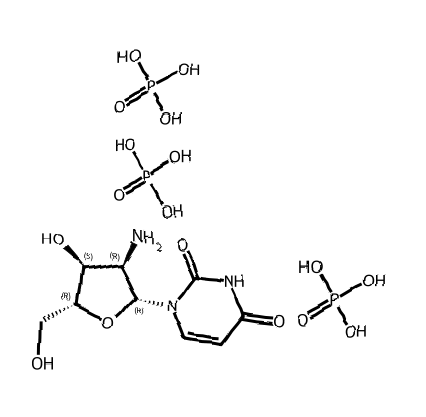 N[C@@H]1[C@H](O)[C@@H](CO)O[C@H]1n1ccc(=O)[nH]c1=O.O=P(O)(O)O.O=P(O)(O)O.O=P(O)(O)O